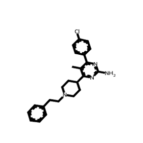 Cc1c(-c2ccc(Cl)cc2)nc(N)nc1C1CCN(CCc2ccccc2)CC1